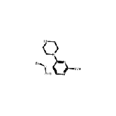 CC(C)(C)OC=O.CNc1nccc(N2CCNCC2)n1